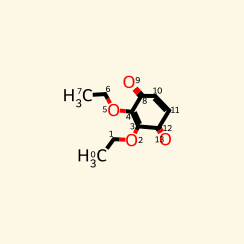 CCOC1=C(OCC)C(=O)C=CC1=O